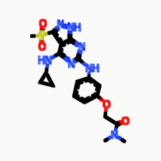 CN(C)C(=O)COc1cccc(Nc2nc(NC3CC3)c3c(S(C)(=O)=O)n[nH]c3n2)c1